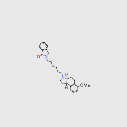 COc1cccc2c1CC[C@@H]1[C@H]2CCN1CCCCCCN1Cc2ccccc2C1=O